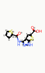 O=C(O)c1cc2c(NC(=O)c3cccs3)n[nH]c2s1